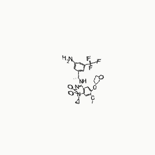 COc1cc2c(cc1OC1CCOC1)C(N[C@H](C)c1cc(N)cc(C(F)(F)F)c1)=NS(=O)(=O)N2C1CC1